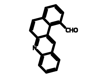 O=Cc1cccc2ccc3nc4ccccc4cc3c12